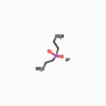 O=C(O)CCP(=O)([O-])CCC(=O)O.[Li+]